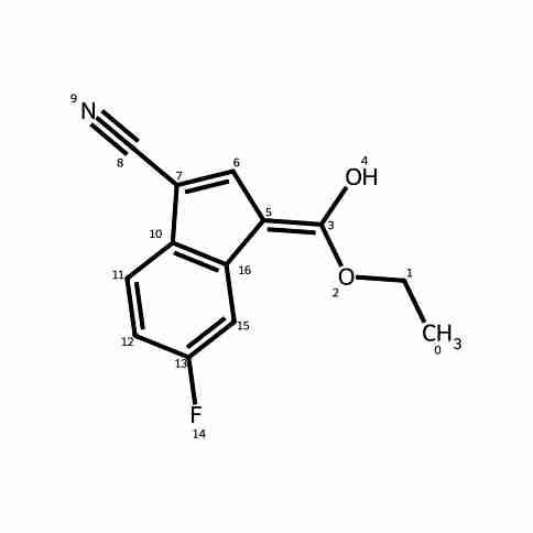 CCO/C(O)=C1/C=C(C#N)c2ccc(F)cc21